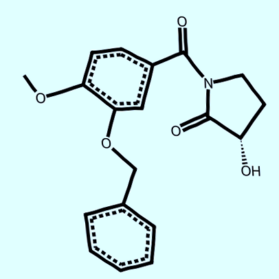 COc1ccc(C(=O)N2CC[C@H](O)C2=O)cc1OCc1ccccc1